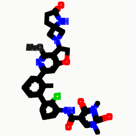 COc1nc(-c2cccc(-c3cccc(NC(=O)c4cn(C)c(=O)n(C)c4=O)c3Cl)c2C)cc2c1C(N1CC3(CCC(=O)N3)C1)CO2